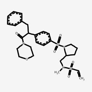 C=CS(=O)(=O)N(C)CC1CCCN1S(=O)(=O)c1ccc(C(Cc2ccccc2)C(=O)N2CCOCC2)cc1